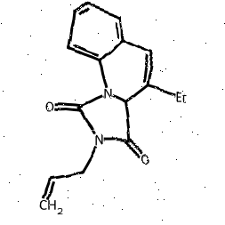 C=CCN1C(=O)C2C(CC)=Cc3ccccc3N2C1=O